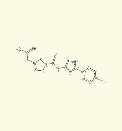 CC(=N)SC1=CCN(C(=O)Nc2nnc(-c3ccc(F)cc3)o2)C1